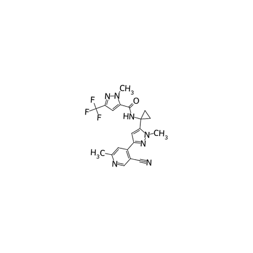 Cc1cc(-c2cc(C3(NC(=O)c4cc(C(F)(F)F)nn4C)CC3)n(C)n2)c(C#N)cn1